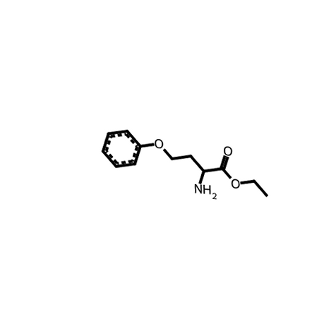 CCOC(=O)C(N)CCOc1ccccc1